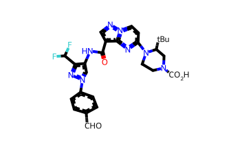 CC(C)(C)C1CN(C(=O)O)CCN1c1ccn2ncc(C(=O)Nc3cn(-c4ccc(C=O)cc4)nc3C(F)F)c2n1